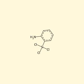 Nc1ccccc1[Si](Cl)(Cl)Cl